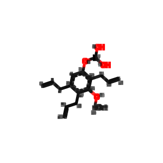 C=CCc1cc(OB(O)O)c(CC=C)c(OCCCCCCCC)c1CC=C